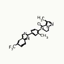 Cc1cc(-c2ncc3cc(C(F)(F)F)ccc3n2)ccc1N1CCn2ncc(C)c2C1=O